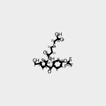 CCc1cc(C(=O)c2ccc(OC(F)(F)F)cc2)c(NC(=O)CCSCC(=O)O)s1